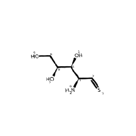 N[C@H](C=S)[C@H](O)[C@@H](O)CO